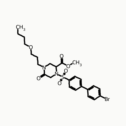 CCCCOCCCN1CC(C(=O)OC)N(S(=O)(=O)c2ccc(-c3ccc(Br)cc3)cc2)CC1=O